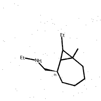 CCNC[C@@H]1CCCCC2(C)C(CC)C12